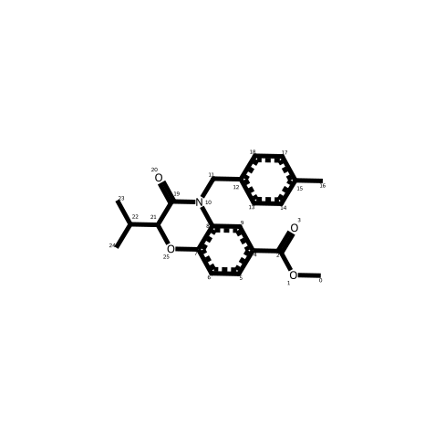 COC(=O)c1ccc2c(c1)N(Cc1ccc(C)cc1)C(=O)C(C(C)C)O2